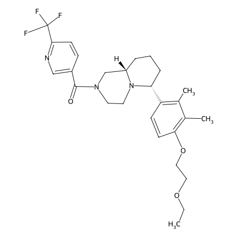 CCOCCOc1ccc([C@H]2CCC[C@H]3CN(C(=O)c4ccc(C(F)(F)F)nc4)CCN32)c(C)c1C